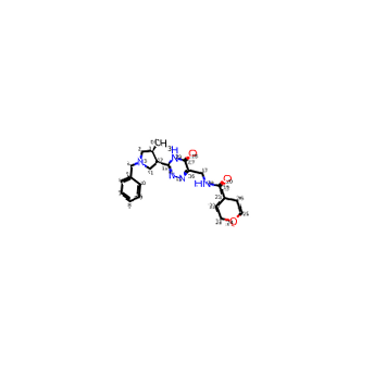 C[C@@H]1CN(Cc2ccccc2)CC1c1nnc(CNC(=O)C2CCOCC2)c(=O)[nH]1